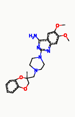 COc1cc2nc(N3CCN(CC4(C)COc5ccccc5O4)CC3)nc(N)c2cc1OC